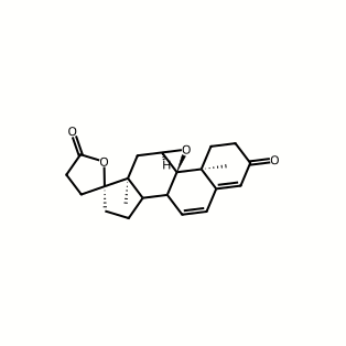 C[C@]12CCC(=O)C=C1C=CC1C3CC[C@@]4(CCC(=O)O4)[C@@]3(C)C[C@H]3O[C@@]132